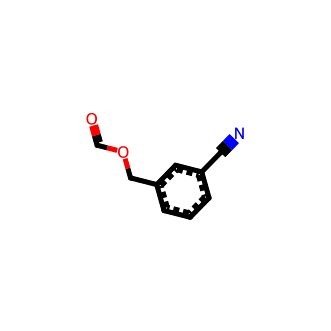 N#Cc1cccc(COC=O)c1